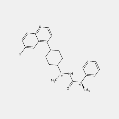 C[C@@H](C(=O)N[C@H](C)C1CCC(c2ccnc3ccc(F)cc23)CC1)c1ccccc1